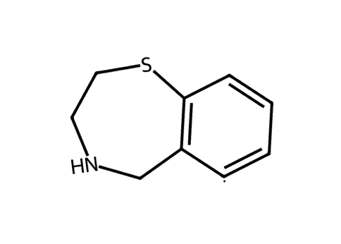 [c]1cccc2c1CNCCS2